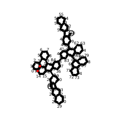 c1ccc(-c2ccccc2-c2c3ccccc3c(-c3ccc4c(c3)oc3cc5ccccc5cc34)c3ccc(-c4ccc5c(-c6ccc7c(c6)oc6cc8ccccc8cc67)c6ccccc6c(-c6cc7ccccc7c7ccccc67)c5c4)cc23)cc1